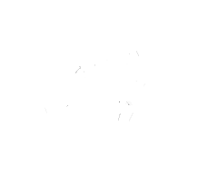 CCC(C)(C)/C=C(\C)C(=O)O.Cl.N